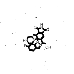 CCC1=CC2=C(C(=O)NC2=O)C(C)C1(N1CCNCC1)n1ncc2ccc(F)cc21.Cl